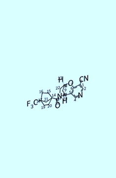 N#Cc1cncc2c1O[C@H]1C[C@@H]2N(C(=O)C23CCC(C(F)(F)F)(CC2)C3)C1